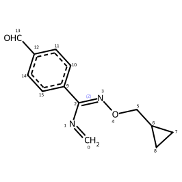 C=N/C(=N\OCC1CC1)c1ccc(C=O)cc1